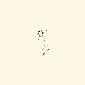 CC(C)c1cc(Cl)cc(C(C)C)c1NC(=O)NS(=O)(=O)C1CN(C)C(=O)N(C)C1=O